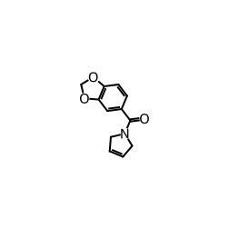 O=C(c1ccc2c(c1)OCO2)N1CC=CC1